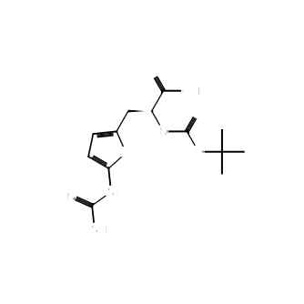 CC(C)(C)OC(=O)N[C@@H](Cc1ccc(NC(=N)N)s1)C(=O)O